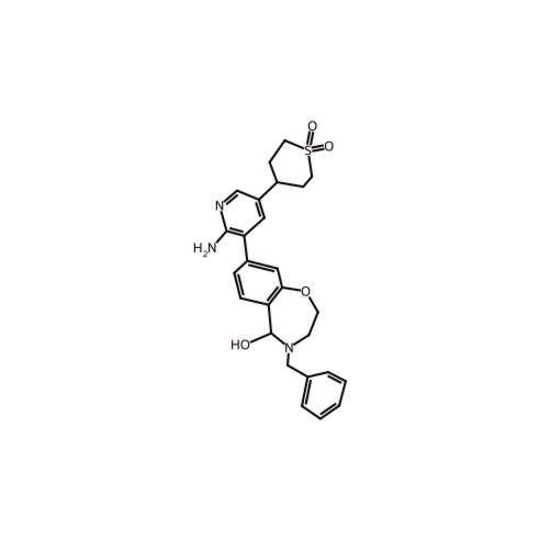 Nc1ncc(C2CCS(=O)(=O)CC2)cc1-c1ccc2c(c1)OCCN(Cc1ccccc1)C2O